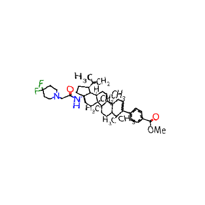 C=C(C)[C@@H]1CC[C@]2(NC(=O)CN3CCC(F)(F)CC3)CC[C@]3(C)[C@H](CCC4[C@@]5(C)CC=C(c6ccc(C(=O)OC)cc6)C(C)(C)C5CC[C@]43C)C12